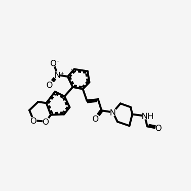 O=CNC1CCN(C(=O)/C=C/c2cc[c]c([N+](=O)[O-])c2-c2ccc3c(c2)CCOO3)CC1